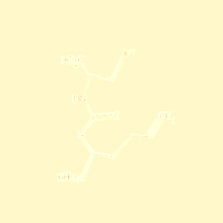 C=CCCC(CCCCCCC)OC(=O)NC(CC(C)C)C(=O)O